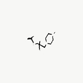 CC(C)NC(C)(C)CN1CCN(C)CC1